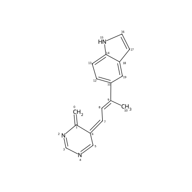 C=c1ncnc/c1=C/C=C(\C)c1ccc2[nH]ccc2c1